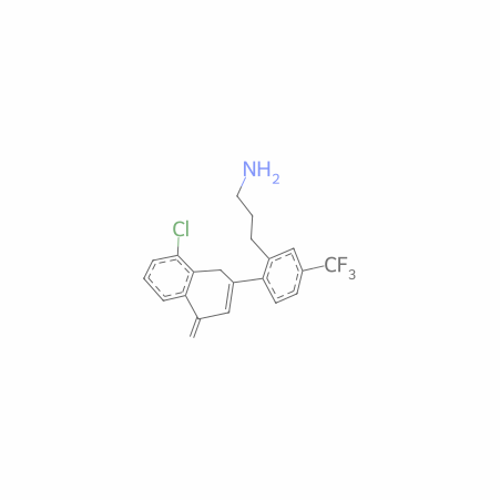 C=C1C=C(c2ccc(C(F)(F)F)cc2CCCN)Cc2c(Cl)cccc21